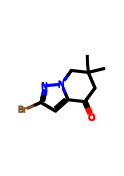 CC1(C)CC(=O)c2cc(Br)nn2C1